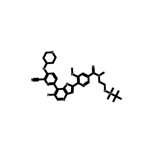 COc1cc(C(=O)N(C)CCO[Si](C)(C)C(C)(C)C)cnc1-c1cc2ncc(F)c(-c3ccc(OC4CCOCC4)c(C#N)n3)c2o1